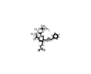 CC(C)(C)OC(=O)N1CC(NOCc2ccccc2)C(CC[N+](=O)[O-])=CC1C(N)=O